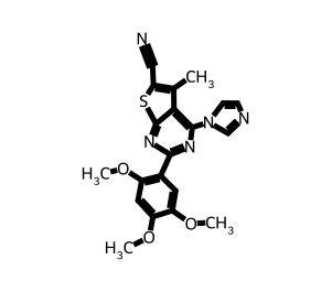 COc1cc(OC)c(-c2nc(-n3ccnc3)c3c(C)c(C#N)sc3n2)cc1OC